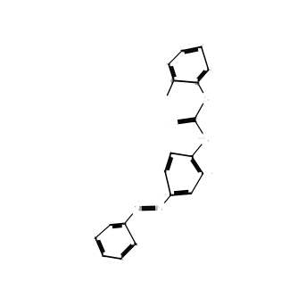 Oc1ccccc1NC(=S)Nc1ccc(N=Nc2ccccc2)cc1